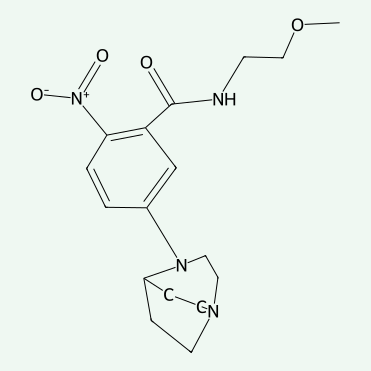 COCCNC(=O)c1cc(N2CCN3CCC2CC3)ccc1[N+](=O)[O-]